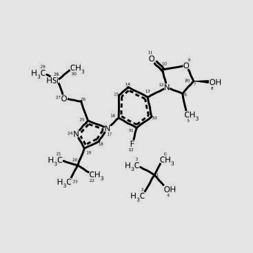 CC(C)(C)O.CC1[C@H](O)OC(=O)N1c1ccc(-n2cc(C(C)(C)C)nc2CO[SiH](C)C)c(F)c1